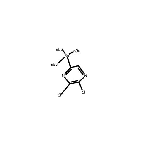 CCC[CH2][Sn]([CH2]CCC)([CH2]CCC)[c]1cnc(Cl)c(Cl)n1